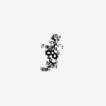 CC(C)Oc1ccc(CN2C(=O)[C@@H](NC(=O)OC(C)(C)C)CSc3cc(F)c(-c4noc(C(NC(=O)OC(C)(C)C)C(F)(F)F)n4)cc32)cc1